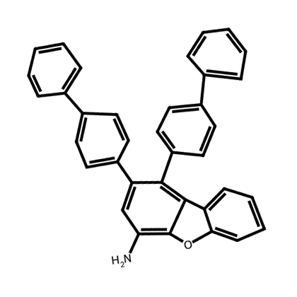 Nc1cc(-c2ccc(-c3ccccc3)cc2)c(-c2ccc(-c3ccccc3)cc2)c2c1oc1ccccc12